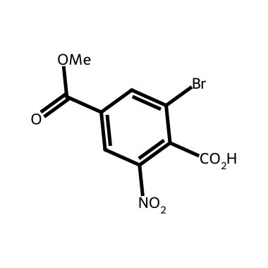 COC(=O)c1cc(Br)c(C(=O)O)c([N+](=O)[O-])c1